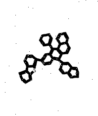 C1=CC2C=Cc3c(c(C4=CCCC=C4)c4cc(-c5cccc6c5sc5ccccc56)ccc4c3-c3ccc4ccccc4c3)C2C=C1